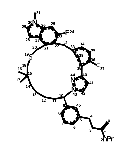 C=C(CCC)CCc1cccc(C2CCCCC(C)(C)CSCc3c(c(F)cc4c3ccn4C)Cc3ccc(F)c(c3)-c3ccn2n3)c1